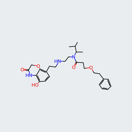 CC(C)C(C)N(CCNCCc1ccc(O)c2c1OCC(=O)N2)C(=O)CCOCCc1ccccc1